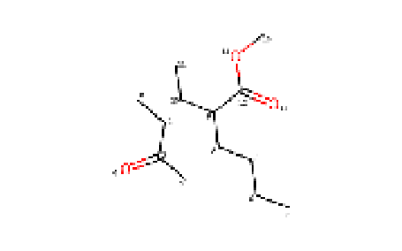 CCC(C)=O.CCCCC(CC)C(=O)OC